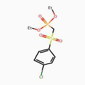 CCOP(=O)(CS(=O)(=O)c1ccc(Cl)cc1)OCC